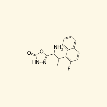 CC(c1c(F)ccc2ccccc12)C(N)c1n[nH]c(=O)o1